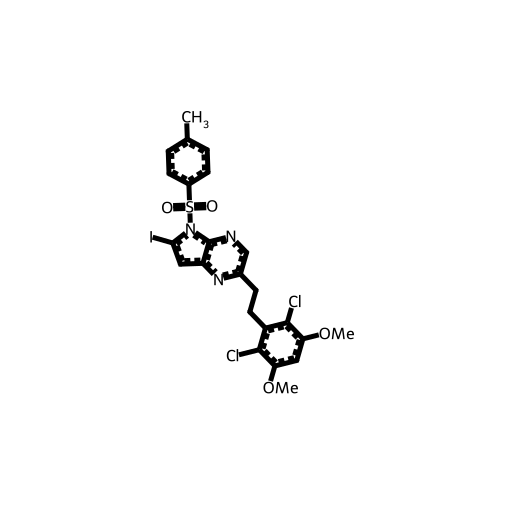 COc1cc(OC)c(Cl)c(CCc2cnc3c(cc(I)n3S(=O)(=O)c3ccc(C)cc3)n2)c1Cl